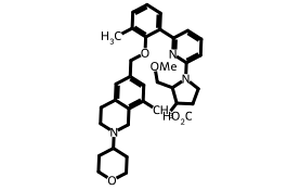 COCC1C(C(=O)O)CCN1c1cccc(-c2cccc(C)c2OCc2cc(C)c3c(c2)CCN(C2CCOCC2)C3)n1